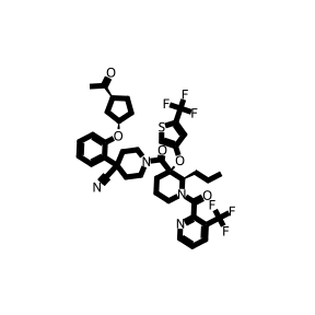 CCC[C@H]1N(C(=O)c2ncccc2C(F)(F)F)CCC[C@@]1(Oc1csc(C(F)(F)F)c1)C(=O)N1CCC(C#N)(c2ccccc2O[C@H]2CC[C@H](C(C)=O)C2)CC1